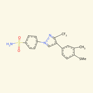 CSc1ccc(-c2cn(-c3ccc(S(N)(=O)=O)cc3)nc2C(F)(F)F)cc1C